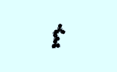 c1ccc(-c2nc(-c3ccccc3)nc(-c3ccc4oc5ccc(-c6cccc7c6oc6ccc(-n8c9ccccc9c9ccccc98)cc67)cc5c4c3)n2)cc1